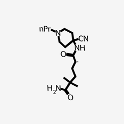 CCCN1CCC(C#N)(NC(=O)[CH]CCC(C)(C)C(N)=O)CC1